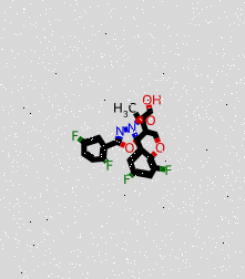 CC(=O)N1N=C(c2cc(F)ccc2F)OC12c1cc(F)cc(F)c1OCC2CCO